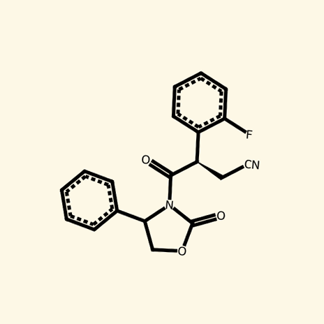 N#CC[C@@H](C(=O)N1C(=O)OCC1c1ccccc1)c1ccccc1F